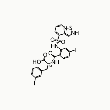 O=C(N[C@@H](Cc1cccc(I)c1)C(=O)O)c1ccc(I)cc1NS(=O)(=O)C1=CC=CN2SNC=C12